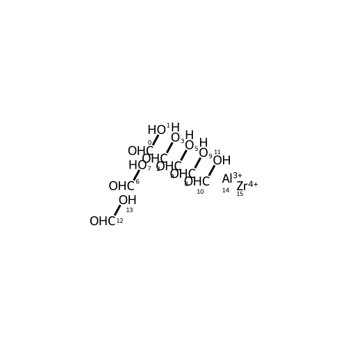 O=[C-]O.O=[C-]O.O=[C-]O.O=[C-]O.O=[C-]O.O=[C-]O.O=[C-]O.[Al+3].[Zr+4]